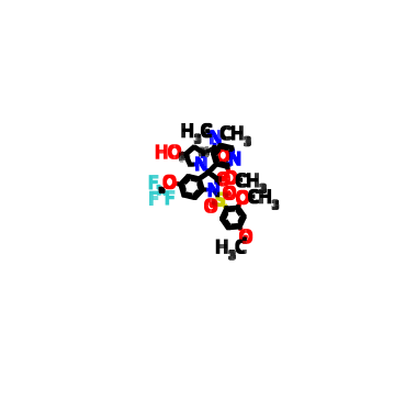 COc1ccc(S(=O)(=O)N2C(=O)C(c3cccnc3OC)(N3C[C@H](O)C[C@H]3C(=O)N(C)C)c3cc(OC(F)(F)F)ccc32)c(OC)c1